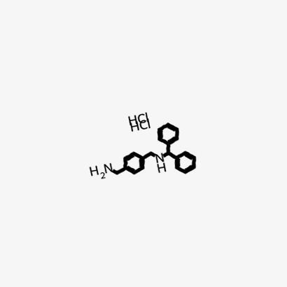 Cl.Cl.NCc1ccc(CNC(c2ccccc2)c2ccccc2)cc1